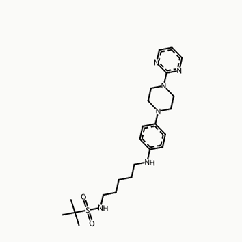 CC(C)(C)S(=O)(=O)NCCCCCNc1ccc(N2CCN(c3ncccn3)CC2)cc1